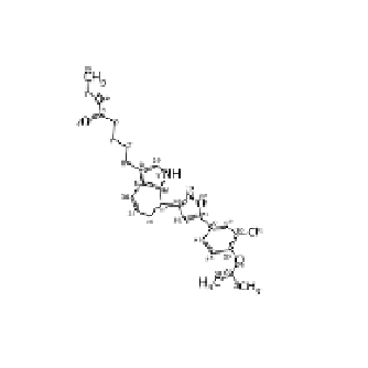 CCOC(=O)CCCCc1c[nH]c2c1C=CCC2c1noc(-c2ccc(OC(C)C)c(Cl)c2)n1